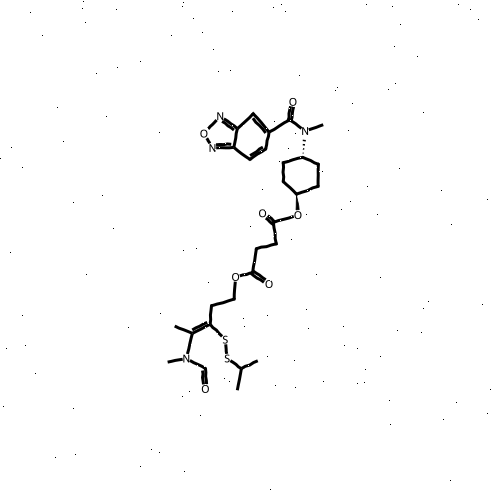 C/C(=C(\CCOC(=O)CCC(=O)O[C@H]1CC[C@H](N(C)C(=O)c2ccc3nonc3c2)CC1)SSC(C)C)N(C)C=O